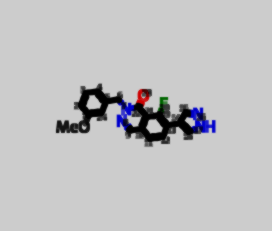 COc1cccc(Cn2ncc3ccc(-c4cn[nH]c4)c(F)c3c2=O)c1